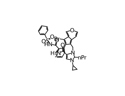 CCCC1N(Cc2c3ccocc-3c(Br)c2-c2ccccc2C(=O)NS(=O)(=O)c2ccccc2)C(C(N)=O)=CN1C1CC1